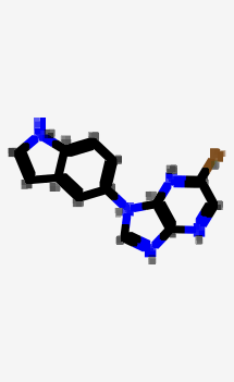 Brc1cnc2ncn(-c3ccc4[nH]ccc4c3)c2n1